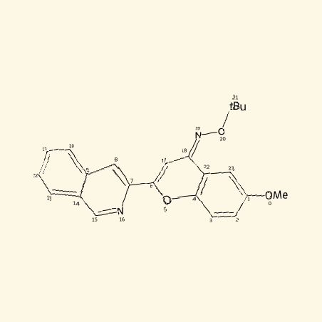 COc1ccc2oc(-c3cc4ccccc4cn3)c/c(=N/OC(C)(C)C)c2c1